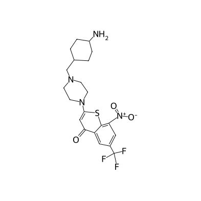 NC1CCC(CN2CCN(c3cc(=O)c4cc(C(F)(F)F)cc([N+](=O)[O-])c4s3)CC2)CC1